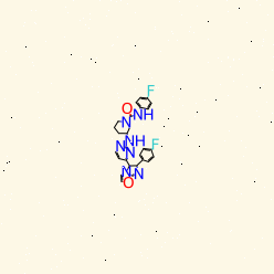 O=C(Nc1ccc(F)cc1)N1CCC[C@@H](Nc2nccc(C3C(c4ccc(F)cc4)N=C4OC=CN43)n2)C1